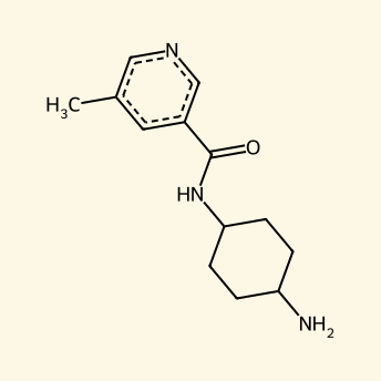 Cc1cncc(C(=O)NC2CCC(N)CC2)c1